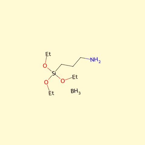 B.CCO[Si](CCCN)(OCC)OCC